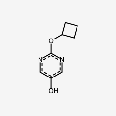 Oc1cnc(OC2CCC2)nc1